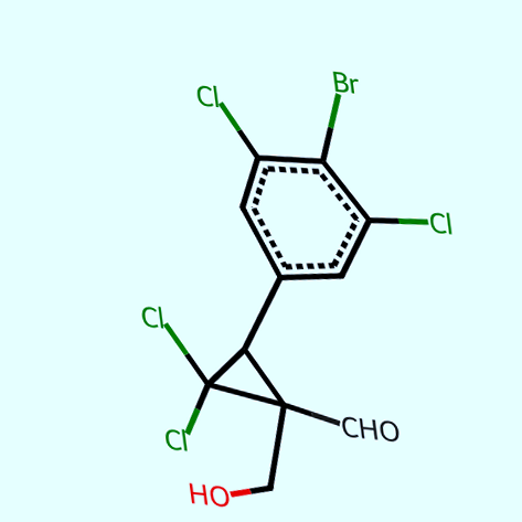 O=CC1(CO)C(c2cc(Cl)c(Br)c(Cl)c2)C1(Cl)Cl